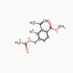 C=C(C)c1c(C(=O)OC)ccc(COC(C)=O)c1Br